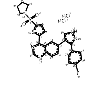 Cl.Cl.O=S(=O)(c1ccc(-c2ncnc3ccc(-c4c[nH]nc4-c4ccc(F)cc4)cc23)s1)N1CCCC1